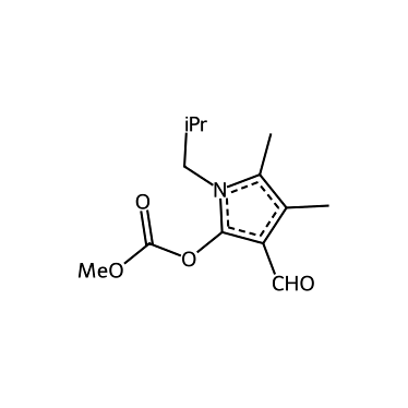 COC(=O)Oc1c(C=O)c(C)c(C)n1CC(C)C